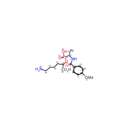 COc1ccc(C(=O)N[C@H](C(C)C)P(=O)(O)OC(CCCCN)C(=O)O)cc1